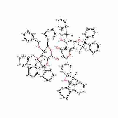 CC1OC(Oc2c(-c3ccc(O[Si](c4ccccc4)(c4ccccc4)C(C)(C)C)cc3)oc3cc(O[Si](c4ccccc4)(c4ccccc4)C(C)(C)C)cc(O[Si](c4ccccc4)(c4ccccc4)C(C)(C)C)c3c2=O)C(O[Si](c2ccccc2)(c2ccccc2)C(C)(C)C)C(OCc2ccccc2)C1OCc1ccccc1